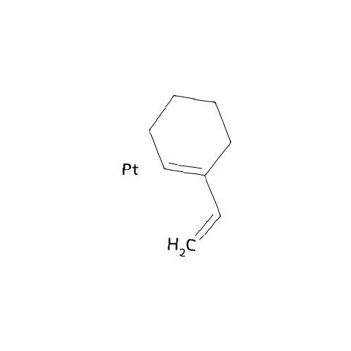 C=CC1=CCCCC1.[Pt]